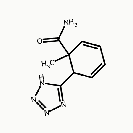 CC1(C(N)=O)C=CC=CC1c1nnn[nH]1